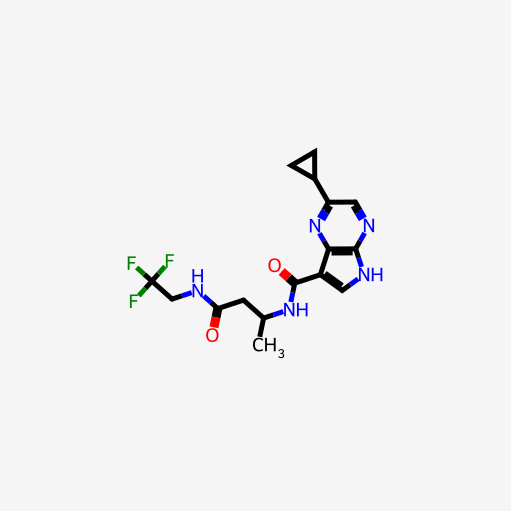 CC(CC(=O)NCC(F)(F)F)NC(=O)c1c[nH]c2ncc(C3CC3)nc12